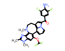 Cc1nc2c3c(c(OC(F)F)cc2n1C)-c1cccn2c(C(=O)c4cc(F)c(N)c(F)c4)cc(c12)CCN3C